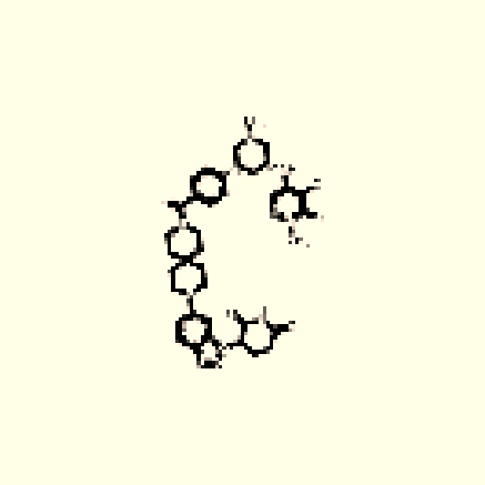 CN1C[C@H](Nc2cnn(C)c(=O)c2Cl)C[C@H](c2ccc(C(=O)N3CCC4(CC3)CCN(c3ccc5nnn(C6CCC(=O)NC6=O)c5c3)CC4)cc2)C1